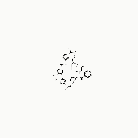 Br.CN(CCC(=N)N)C(=O)n1ccc(N(C)C(=O)n2ccc(N(C)C(=O)n3ccc(N(C)C(=O)n4ccc(N(C(=O)c5ccccc5)N(CCBr)CCBr)n4)c3)c2)c1